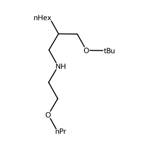 CCCCCCC(CNCCOCCC)COC(C)(C)C